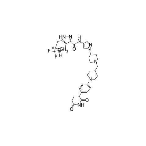 C[C@@]12Cc3[nH]nc(C(=O)Nc4cnn(C5CCN(CC6CCN(c7ccc(C8CCC(=O)NC8=O)cc7)CC6)CC5)c4)c3C[C@@H]1C2(F)F